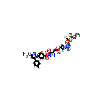 Cc1ccc(-c2cc(C(F)(F)F)nn2-c2ccc(S(=O)(=O)NC(=O)CCC(=O)OC3CN(/[N+]([O-])=N\OC(C)OC(=O)OC(C)C)C3)cc2)cc1